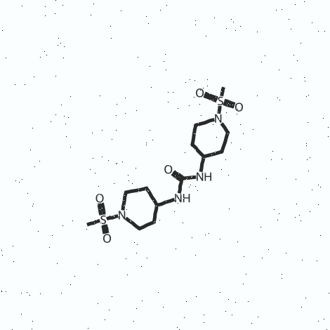 CS(=O)(=O)N1CCC(NC(=O)NC2CCN(S(C)(=O)=O)CC2)CC1